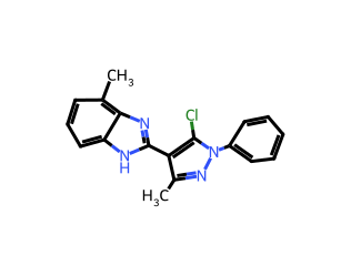 Cc1nn(-c2ccccc2)c(Cl)c1-c1nc2c(C)cccc2[nH]1